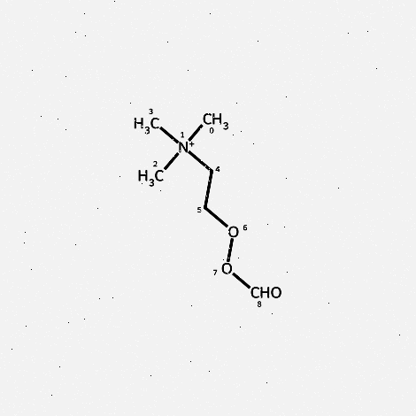 C[N+](C)(C)CCOOC=O